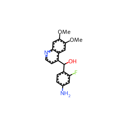 COc1cc2nccc(C(O)c3ccc(N)cc3F)c2cc1OC